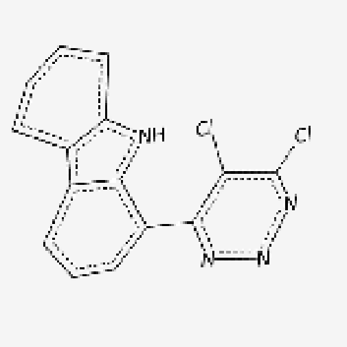 Clc1nnnc(-c2cccc3c2[nH]c2ccccc23)c1Cl